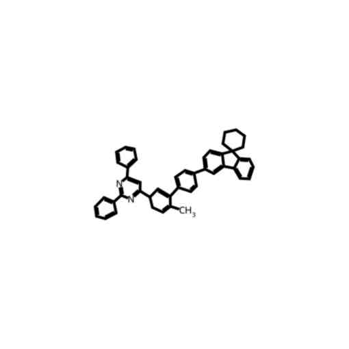 CC1=CCC(c2cc(-c3ccccc3)nc(-c3ccccc3)n2)C=C1c1ccc(-c2ccc3c(c2)-c2ccccc2C32CCCCC2)cc1